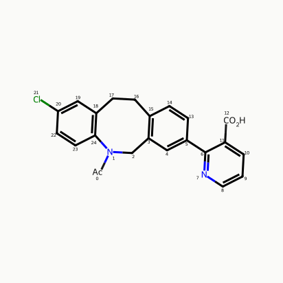 CC(=O)N1Cc2cc(-c3ncccc3C(=O)O)ccc2CCc2cc(Cl)ccc21